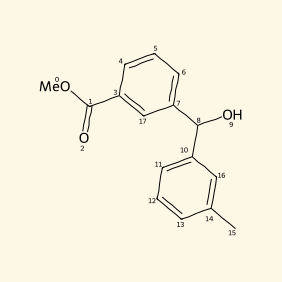 COC(=O)c1cccc(C(O)c2cccc(C)c2)c1